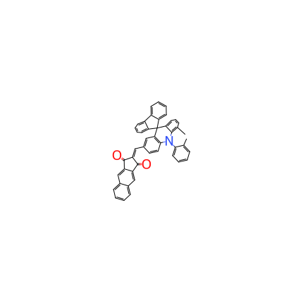 Cc1ccccc1N1c2ccc(C=C3C(=O)c4cc5ccccc5cc4C3=O)cc2C2(c3ccccc3-c3ccccc32)c2cccc(C)c21